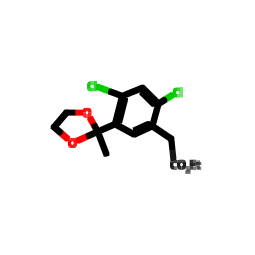 CCOC(=O)Cc1cc(C2(C)OCCO2)c(Cl)cc1Cl